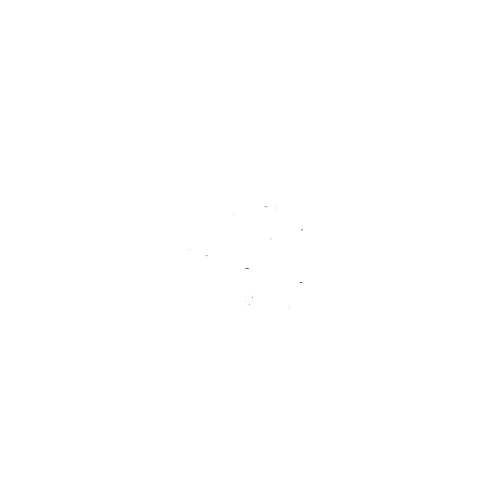 N[C@H]1[C@@H](O[C@H](CC(=O)C(=O)O)[C@@H](O)[C@H](O)[C@H](O)CO)O[C@H](CO)[C@@H](O)[C@@H]1O